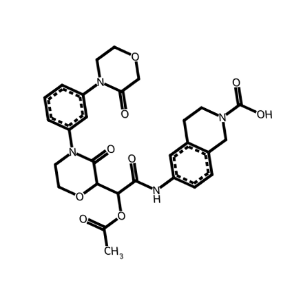 CC(=O)OC(C(=O)Nc1ccc2c(c1)CCN(C(=O)O)C2)C1OCCN(c2cccc(N3CCOCC3=O)c2)C1=O